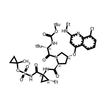 CCNc1cc(O[C@@H]2C[C@@H](C(=O)N[C@]3(C(=O)NS(=O)(=O)OC4(C)CC4)C[C@H]3CC)N(C(=O)[C@@H](NC(=O)OC(C)(C)C)C(C)(C)C)C2)c2cccc(Cl)c2n1